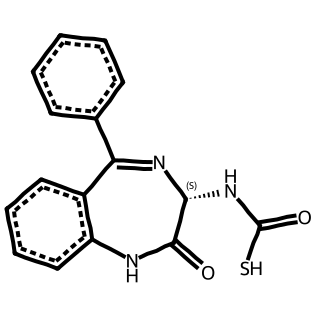 O=C(S)N[C@H]1N=C(c2ccccc2)c2ccccc2NC1=O